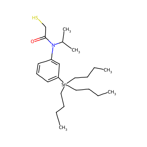 CCC[CH2][Sn]([CH2]CCC)([CH2]CCC)[c]1cccc(N(C(=O)CS)C(C)C)c1